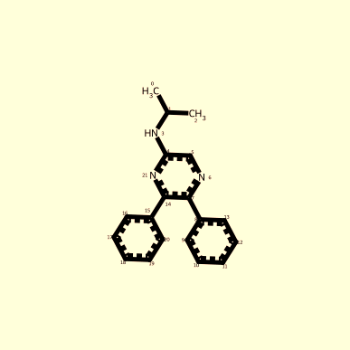 CC(C)Nc1cnc(-c2ccccc2)c(-c2ccccc2)n1